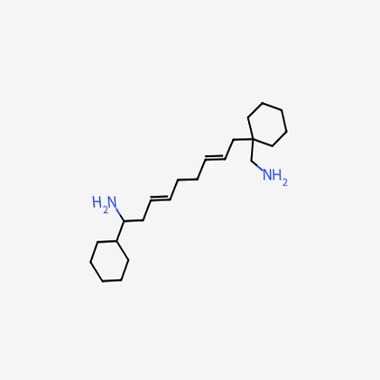 NCC1(CC=CCCC=CCC(N)C2CCCCC2)CCCCC1